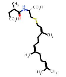 CC(C)=CCCC(C)=CCCC(C)=CCSC[C@H](NC(=O)[C@H](C)CC(=O)O)C(=O)O